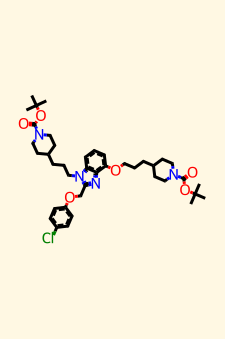 CC(C)(C)OC(=O)N1CCC(CCCOc2cccc3c2nc(COc2ccc(Cl)cc2)n3CCCC2CCN(C(=O)OC(C)(C)C)CC2)CC1